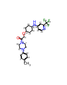 Cc1ccc(N2CCN(C(=O)COC3CCC(Nc4ccnc(C(F)(F)F)c4)CC3)CC2)cc1